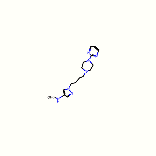 O=CNc1cnn(CCCCN2CCN(c3ncccn3)CC2)c1